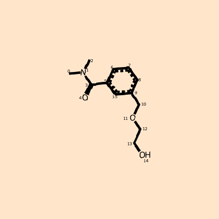 CN(C)C(=O)c1cccc(COCCO)c1